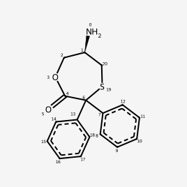 N[C@@H]1COC(=O)C(c2ccccc2)(c2ccccc2)SC1